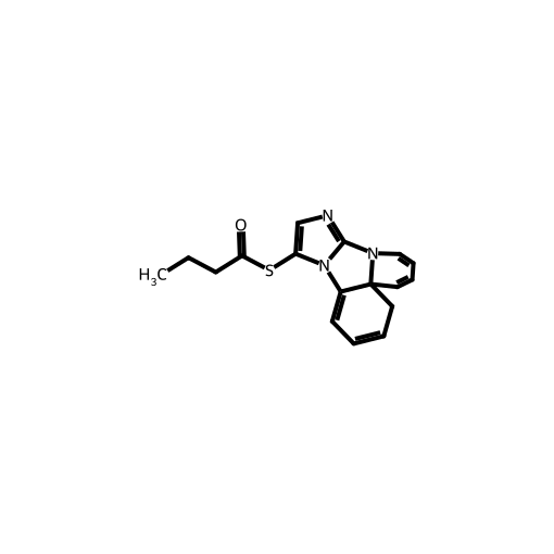 CCCC(=O)Sc1cnc2n1C1=CC=CCC13C=CC=CN23